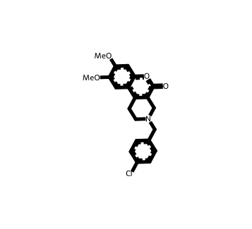 COc1cc2oc(=O)c3c(c2cc1OC)CCN(Cc1ccc(Cl)cc1)C3